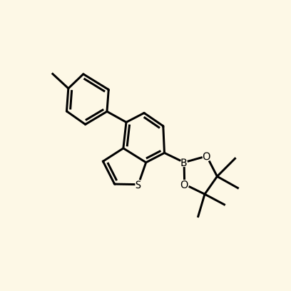 Cc1ccc(-c2ccc(B3OC(C)(C)C(C)(C)O3)c3sccc23)cc1